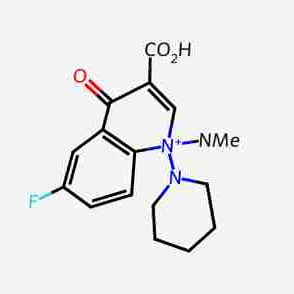 CN[N+]1(N2CCCCC2)C=C(C(=O)O)C(=O)c2cc(F)ccc21